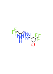 COc1cc(-c2ncn(/C=C\c3n[nH]nc3CC(F)(F)F)n2)cc(C(F)(F)F)c1